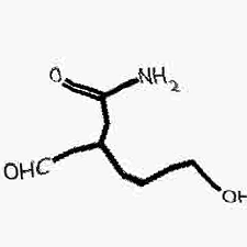 NC(=O)C(C=O)CCO